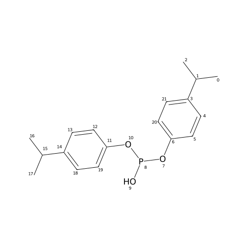 CC(C)c1ccc(OP(O)Oc2ccc(C(C)C)cc2)cc1